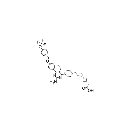 Nc1nc2c(c(N3CCN(CCO[C@H]4C[C@@H](CC(=O)O)C4)CC3)n1)CCc1cc(OCc3ccc(OC(F)(F)F)cc3)ccc1-2